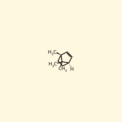 CC1(C)[C@H]2[C]=C[C@@]1(C)CC2